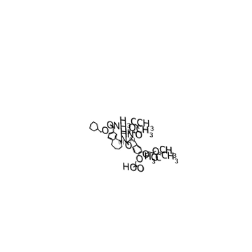 CC(C)(C)OC(=O)COc1cc(C[C@H](NC(=O)OC(C)(C)C)C(=O)N[C@H]2CCCCc3cc(OCC4CCCCC4)c(C(N)=O)cc32)ccc1OCC(=O)O